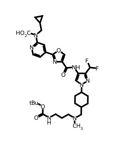 CN(CCCNC(=O)OC(C)(C)C)CC1CCC(n2cc(NC(=O)c3coc(-c4ccnc(N(CC5CC5)C(=O)O)c4)n3)c(C(F)F)n2)CC1